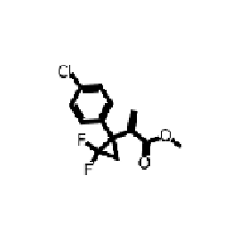 C=C(C(=O)OC)C1(c2ccc(Cl)cc2)CC1(F)F